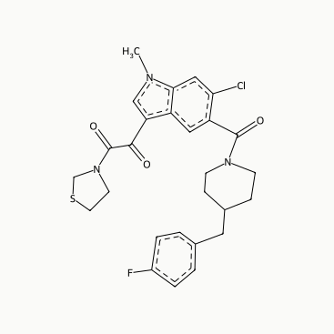 Cn1cc(C(=O)C(=O)N2CCSC2)c2cc(C(=O)N3CCC(Cc4ccc(F)cc4)CC3)c(Cl)cc21